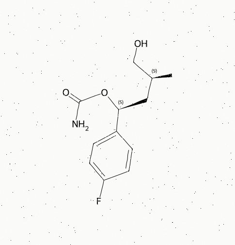 C[C@H](CO)C[C@H](OC(N)=O)c1ccc(F)cc1